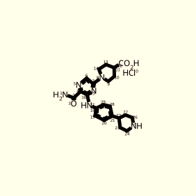 Cl.NC(=O)c1ncc(N2CCC(C(=O)O)CC2)nc1Nc1ccc(C2CCNCC2)cc1